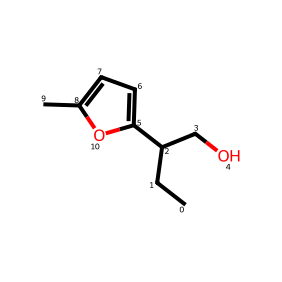 CCC(CO)c1ccc(C)o1